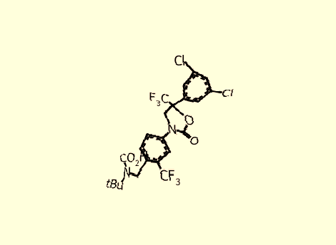 CC(C)(C)N(Cc1ccc(N2CC(c3cc(Cl)cc(Cl)c3)(C(F)(F)F)OC2=O)cc1C(F)(F)F)C(=O)O